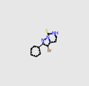 S=c1[nH]ccc2c(Br)c(-c3ccccc3)nn12